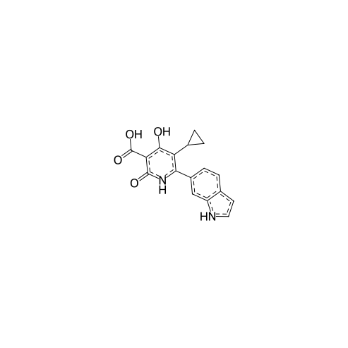 O=C(O)c1c(O)c(C2CC2)c(-c2ccc3cc[nH]c3c2)[nH]c1=O